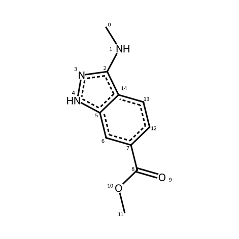 CNc1n[nH]c2cc(C(=O)OC)ccc12